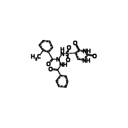 Cc1ccccc1C(=O)N(NC(=O)c1ccccc1)NS(=O)(=O)c1c[nH]c(=O)[nH]c1=O